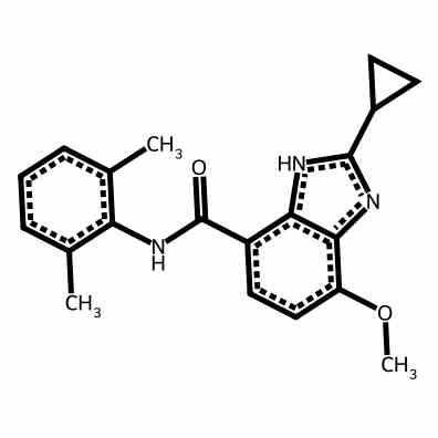 COc1ccc(C(=O)Nc2c(C)cccc2C)c2[nH]c(C3CC3)nc12